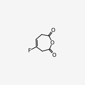 O=C1CC=C(F)CC(=O)O1